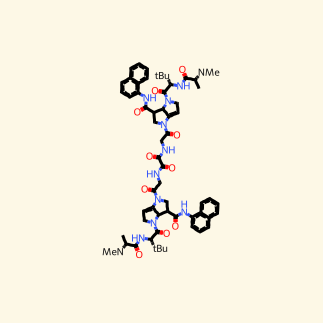 CNC(C)C(=O)NC(C(=O)N1CC=C2C1C(C(=O)Nc1cccc3ccccc13)CN2C(=O)CNC(=O)C(=O)NCC(=O)N1CC(C(=O)Nc2cccc3ccccc23)C2C1=CCN2C(=O)C(NC(=O)C(C)NC)C(C)(C)C)C(C)(C)C